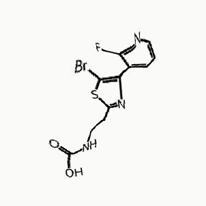 O=C(O)NCCc1nc(-c2cccnc2F)c(Br)s1